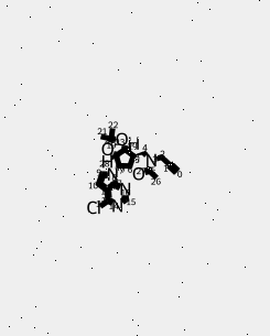 C#CCN(C[C@H]1C[C@@H](n2ccc3c(Cl)ncnc32)[C@@H]2OC(C)(C)O[C@H]12)C(C)=O